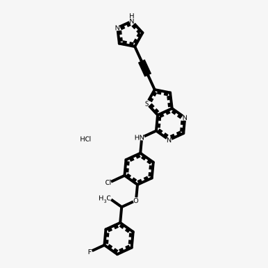 CC(Oc1ccc(Nc2ncnc3cc(C#Cc4cn[nH]c4)sc23)cc1Cl)c1cccc(F)c1.Cl